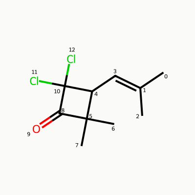 CC(C)=CC1C(C)(C)C(=O)C1(Cl)Cl